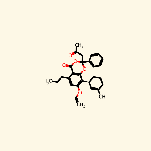 C=COc1cc(CCC)c2c(c1[C@@H]1C=C(C)CCC1)OC(CC(C)=O)(c1ccccc1)OC2=O